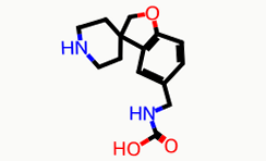 O=C(O)NCc1ccc2c(c1)C1(CCNCC1)CO2